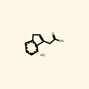 Cl.O=C(O)CC1=CCc2ccccc21